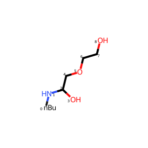 CCCCNC(O)COCCO